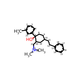 Cc1cccc(C2(O)CCC(CCc3ccccc3)CC2CN(C)C)c1